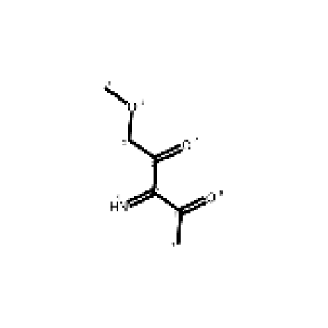 COCC(=O)C(=N)C(C)=O